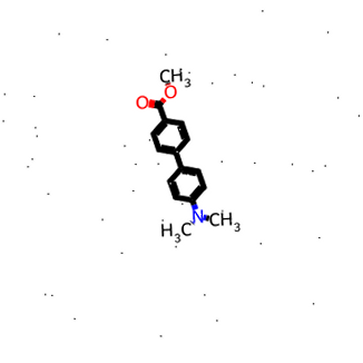 COC(=O)c1ccc(-c2ccc(N(C)C)cc2)cc1